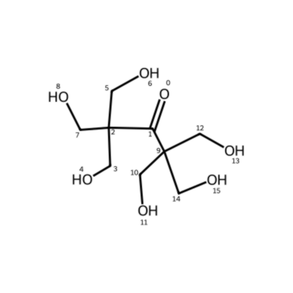 O=C(C(CO)(CO)CO)C(CO)(CO)CO